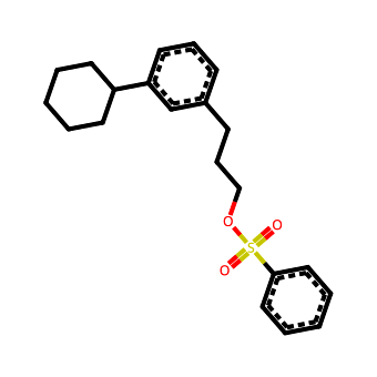 O=S(=O)(OCCCc1cccc(C2CCCCC2)c1)c1ccccc1